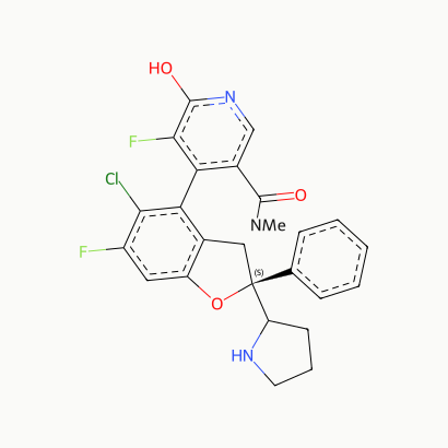 CNC(=O)c1cnc(O)c(F)c1-c1c(Cl)c(F)cc2c1C[C@](c1ccccc1)(C1CCCN1)O2